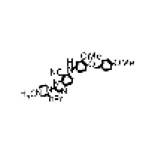 CCCC1CN(C)CCN1c1cnc2ccc(Nc3ccc(OCc4ccc(OC)cc4)c(OC)c3)c(C#N)c2n1